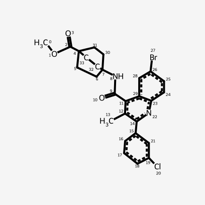 COC(=O)C12CCC(NC(=O)c3c(C)c(-c4cccc(Cl)c4)nc4ccc(Br)cc34)(CC1)CC2